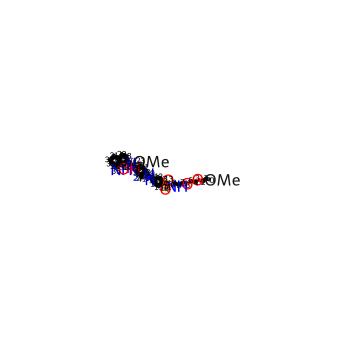 COCCOCCOCCCNS(=O)(=O)c1ccc(N=Nc2cc(OC)c(N=Nc3ccc4cccc(N)c4c3O)cc2C)cc1